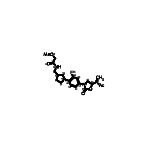 COCC(=O)NCC1CCN(c2ccc(N3CC(N(C)C(C)=O)OC3=O)cc2F)C1